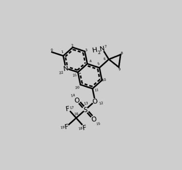 Cc1ccc2c(C3(N)CC3)cc(OS(=O)(=O)C(F)(F)F)cc2n1